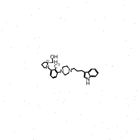 Cc1c(N2CCN(CCCc3c[nH]c4ccccc34)CC2)cccc1N1CCC[C@H]1CO